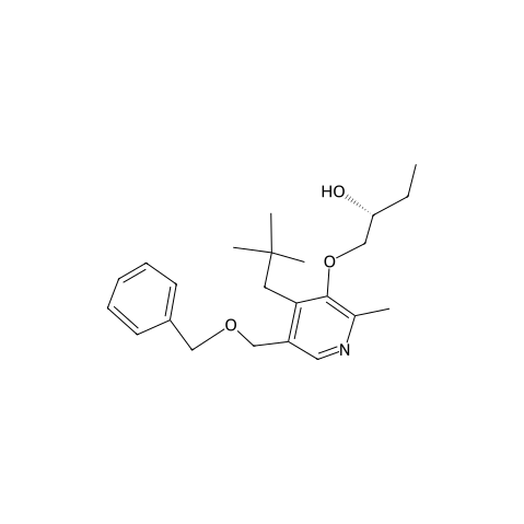 CC[C@@H](O)COc1c(C)ncc(COCc2ccccc2)c1CC(C)(C)C